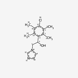 Cc1c(C)c(C(O)Cn2ccnc2)c(C)c(C)c1Cl